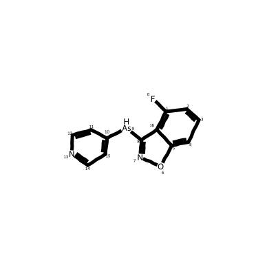 Fc1cccc2onc([AsH]c3ccncc3)c12